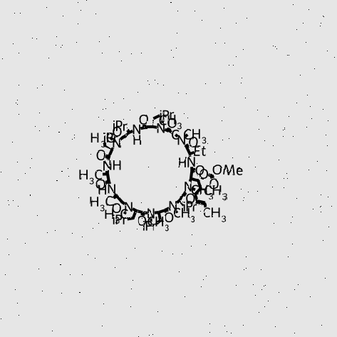 [CH2]OC(=O)OC(C1C(=O)NC(CC)C(=O)N(C)CC(=O)N(C)[C@@H](CC(C)C)C(=O)NC(C(C)C)C(=O)N(C)[C@H](CC(C)C)C(=O)NC(C)C(=O)NC(C)C(=O)N(C)C(CC(C)C)C(=O)N(C)C(CC(C)C)C(=O)N(C)[C@H](C(C)C)C(=O)N1C)[C@H](C)C/C=C/C